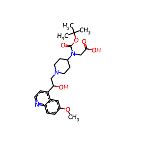 COc1ccc2nccc(C(O)CN3CCC(N(CC(=O)O)C(=O)OC(C)(C)C)CC3)c2c1